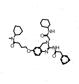 CN(C(=O)CCCOc1ccc2c(c1)CN(CC(=O)NC1CCCCC1)C(NC(=O)Cc1ccccc1)=N2)C1CCCCC1